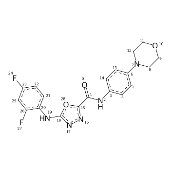 O=C(Nc1ccc(N2CCOCC2)cc1)c1nnc(Nc2ccc(F)cc2F)o1